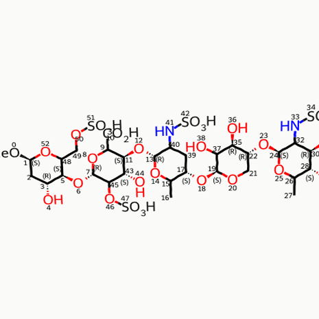 CO[C@@H]1C[C@@H](O)[C@H](O[C@@H]2OC(C(=O)O)[C@@H](O[C@H]3OC(C)[C@@H](O[C@@H]4OC[C@@H](O[C@@H]5OC(C)[C@@H](O)[C@H](O)C5NS(=O)(=O)O)[C@H](O)C4O)CC3NS(=O)(=O)O)[C@H](O)C2OS(=O)(=O)O)C(COS(=O)(=O)O)O1